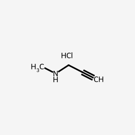 C#CCNC.Cl